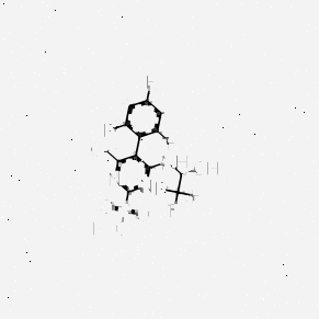 C[C@H](Nc1nc(S(C)(=O)=O)nc(Cl)c1-c1c(F)cc(F)cc1F)C(F)(F)F